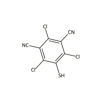 N#Cc1c(Cl)c(S)c(Cl)c(C#N)c1Cl